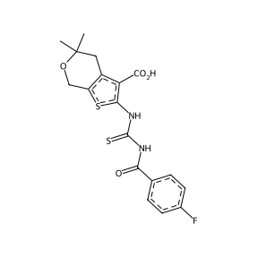 CC1(C)Cc2c(sc(NC(=S)NC(=O)c3ccc(F)cc3)c2C(=O)O)CO1